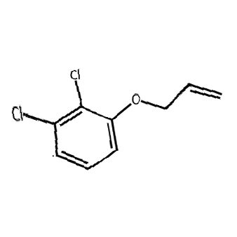 C=CCOc1cc[c]c(Cl)c1Cl